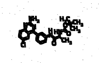 C[C@@H](NC(=O)OC(C)(C)C)C(=O)Nc1cccc(-c2nc(N)nc3ccc(Cl)cc23)c1